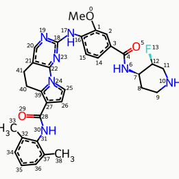 COc1cc(C(=O)N[C@@H]2CCNC[C@@H]2F)ccc1Nc1ncc2c(n1)-n1ccc(C(=O)Nc3c(C)cccc3C)c1CC2